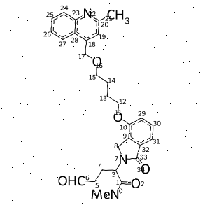 CNC(=O)C(CCC=O)N1Cc2c(OCCCCOCc3cc(C)nc4ccccc34)cccc2C1=O